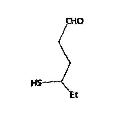 [CH2]CC(S)CCC=O